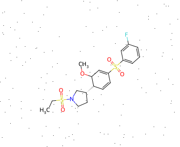 CCS(=O)(=O)N1CC[C@@H](C2C=CC(S(=O)(=O)c3cccc(F)c3)=CC2OC)C1